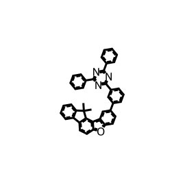 CC1(C)c2ccccc2-c2ccc3oc4ccc(-c5cccc(-c6nc(-c7ccccc7)nc(-c7ccccc7)n6)c5)cc4c3c21